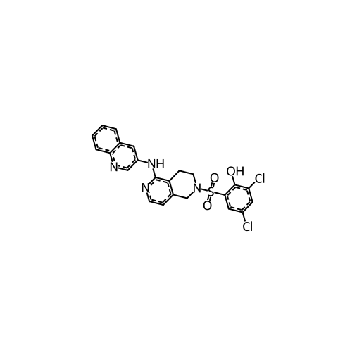 O=S(=O)(c1cc(Cl)cc(Cl)c1O)N1CCc2c(ccnc2Nc2cnc3ccccc3c2)C1